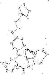 COC1(c2ccccc2)C(c2ccc(OCCN3CCCC3)cc2)c2ccccc2OC1(C)C